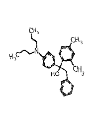 CCCN(CCC)c1ccc(C(O)(Cc2ccccc2)c2ccc(C)cc2C)cc1